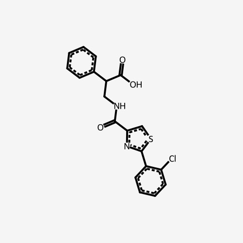 O=C(NCC(C(=O)O)c1ccccc1)c1csc(-c2ccccc2Cl)n1